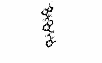 [2H]C([2H])(c1ccnc2[nH]ccc12)N1CCc2c(NC(=O)Nc3ccccc3C)cccc21